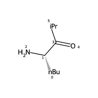 CCCC[C@H](N)C(=O)C(C)C